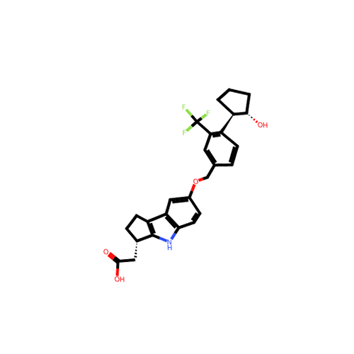 O=C(O)C[C@@H]1CCc2c1[nH]c1ccc(OCc3ccc([C@H]4CCC[C@@H]4O)c(C(F)(F)F)c3)cc21